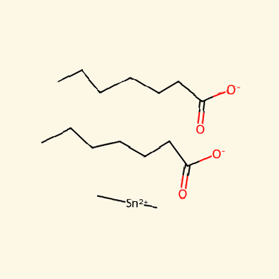 CCCCCCC(=O)[O-].CCCCCCC(=O)[O-].[CH3][Sn+2][CH3]